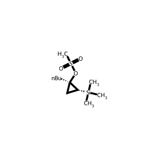 CCCC[C@@]1(OS(C)(=O)=O)C[C@H]1[Si](C)(C)C